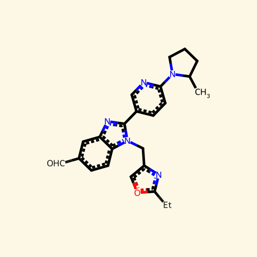 CCc1nc(Cn2c(-c3ccc(N4CCCC4C)nc3)nc3cc(C=O)ccc32)co1